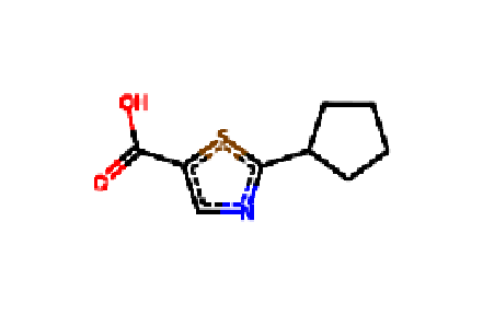 O=C(O)c1cnc(C2CCCC2)s1